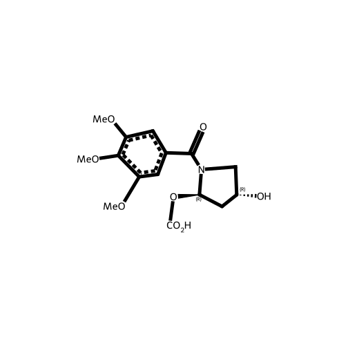 COc1cc(C(=O)N2C[C@H](O)C[C@H]2OC(=O)O)cc(OC)c1OC